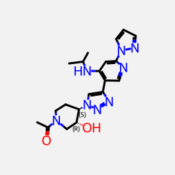 CC(=O)N1CC[C@H](n2cc(-c3cnc(-n4cccn4)cc3NC(C)C)nn2)[C@H](O)C1